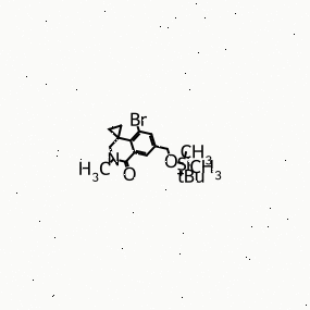 CN1CC2(CC2)c2c(Br)cc(CO[Si](C)(C)C(C)(C)C)cc2C1=O